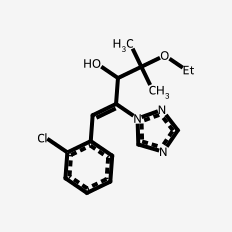 CCOC(C)(C)C(O)C(=Cc1ccccc1Cl)n1cncn1